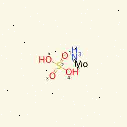 N.O=S(=O)(O)O.[Mo]